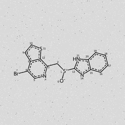 [O-][S+](Cc1ncc(Br)c2ccsc12)c1nc2ccccc2[nH]1